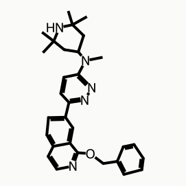 CN(c1ccc(-c2ccc3ccnc(OCc4ccccc4)c3c2)nn1)C1CC(C)(C)NC(C)(C)C1